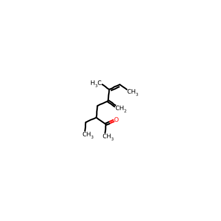 C=C(CC(CC)C(C)=O)/C(C)=C\C